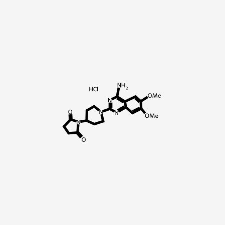 COc1cc2nc(N3CCC(N4C(=O)CCC4=O)CC3)nc(N)c2cc1OC.Cl